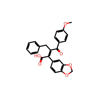 COc1ccc(C(=O)C(Cc2ccccc2)=C(C(=O)O)c2ccc3c(c2)OCO3)cc1